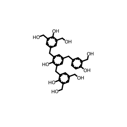 OCc1cc(CO)c(O)c(Cc2cc(Cc3ccc(O)c(CO)c3)cc(Cc3cc(CO)c(O)c(CO)c3)c2O)c1